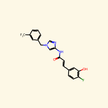 O=C(/C=C/c1ccc(F)c(O)c1)Nc1cn(Cc2cccc(C(F)(F)F)c2)cn1